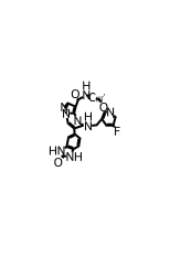 C[C@H]1CNC(=O)c2cnn3cc(-c4ccc5[nH]c(=O)[nH]c5c4)c(nc23)NCc2cc(F)cnc2O1